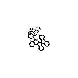 CC1(C)OB(c2ccc3c(c2)C2(c4ccccc4-3)c3ccccc3-c3c2cc2c4c(cccc34)-c3ccccc3-2)OC1(C)C